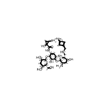 NC1CC(CNC[C@H]2O[C@H](OC3[C@@H](N)C[C@@H](NC(=O)C4(O)CC4N)[C@H](O[C@H]4O[C@H](CO)[C@@H](O)C[C@H]4O)[C@H]3O)[C@H](N)C[C@@H]2O)C1